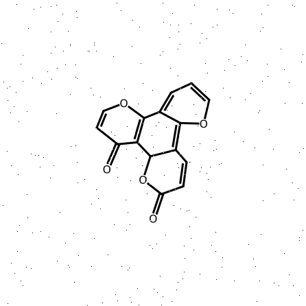 O=C1C=[C]C2=C3OC=CC=C3c3occc(=O)c3C2O1